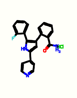 Cl.NC(=O)c1ccccc1-c1cc(-c2ccncc2)[nH]c1-c1ccccc1F